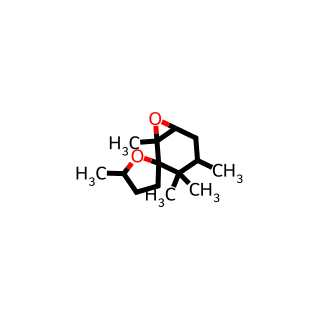 CC1CCC2(O1)C(C)(C)C(C)CC1OC12C